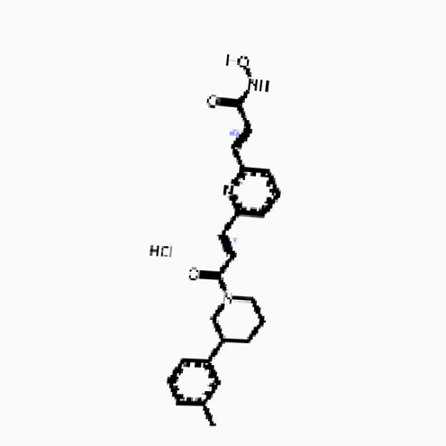 Cc1cccc(C2CCCN(C(=O)/C=C/c3cccc(/C=C/C(=O)NO)n3)C2)c1.Cl